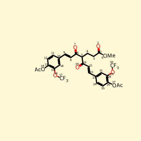 COC(=O)CCC(C(=O)C=Cc1ccc(OC(C)=O)c(OC(F)(F)F)c1)C(=O)C=Cc1ccc(OC(C)=O)c(OC(F)(F)F)c1